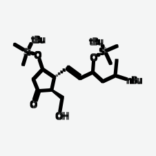 CCCCC(C)CC(C=C[C@H]1C(O[Si](C)(C)C(C)(C)C)CC(=O)[C@@H]1CO)O[Si](C)(C)C(C)(C)C